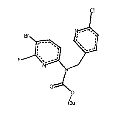 CC(C)(C)OC(=O)N(Cc1ccc(Cl)nc1)c1ccc(Br)c(F)n1